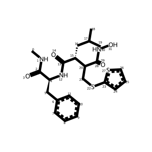 CNC(=O)[C@H](Cc1ccccc1)NC(=O)[C@H](CC(C)C)C(CSc1cccs1)C(=O)NO